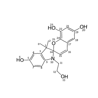 CC1(C)c2cc(O)ccc2N(CCO)C12C=Cc1cc(O)cc(O)c1O2